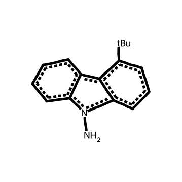 CC(C)(C)c1cccc2c1c1ccccc1n2N